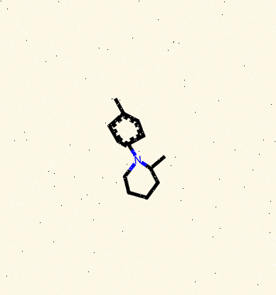 [CH2]c1ccc(N2CCCCC2C)cc1